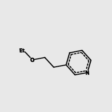 [CH2]COCCc1cccnc1